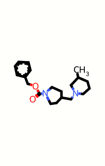 CC1CCCN(CC2CCN(C(=O)OCc3ccccc3)CC2)C1